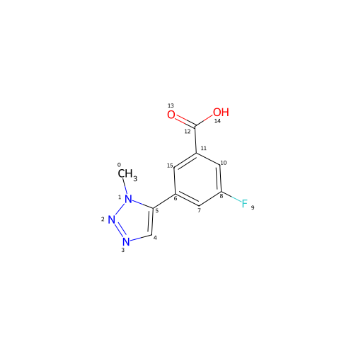 Cn1nncc1-c1cc(F)cc(C(=O)O)c1